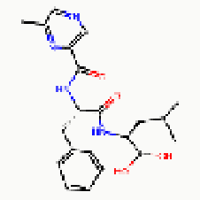 Cc1cncc(C(=O)N[C@@H](Cc2ccccc2)C(=O)N[C@@H](CC(C)C)B(O)O)n1